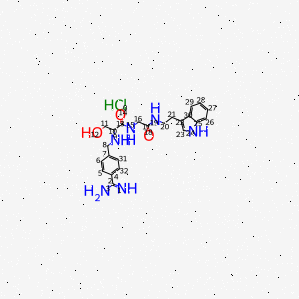 Cl.N=C(N)c1ccc(CNC(CO)C(=O)NCC(=O)NCCc2c[nH]c3ccccc23)cc1